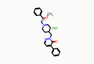 CO[C@@H](CN1CCC(Cn2nccc(-c3ccccc3)c2=O)CC1)c1ccccc1.Cl